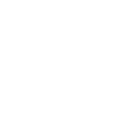 C/C=C/CCc1c(F)cc(CCc2ccc(C3CCC(C[C@H](C)c4ccccc4)CC3)cc2)cc1F